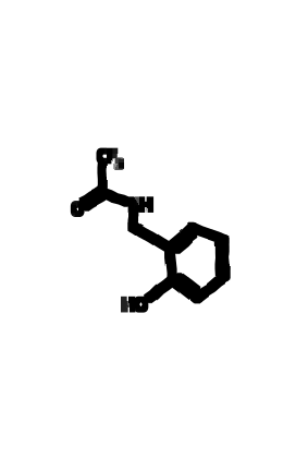 O=C(NCc1ccccc1O)C(F)(F)F